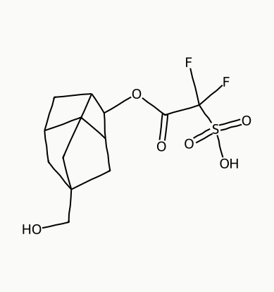 O=C(OC1C2CC3CC1CC(CO)(C3)C2)C(F)(F)S(=O)(=O)O